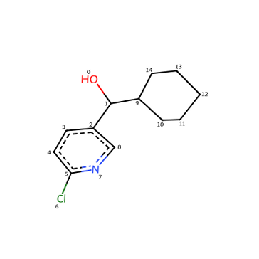 OC(c1ccc(Cl)nc1)C1CCCCC1